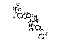 Nc1c(C(=O)c2cc3cc(F)c(NS(=O)(=O)C4CC4)cc3[nH]2)cnn1-c1c(Cl)cc(Oc2ccccc2F)cc1Cl